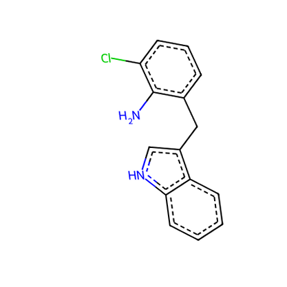 Nc1c(Cl)cccc1Cc1c[nH]c2ccccc12